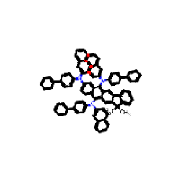 CC1(C)c2ccccc2-c2cc3c(N(c4ccc(-c5ccccc5)cc4)c4ccc5ccccc5c4)c4cc(N(c5ccc(-c6ccccc6)cc5)c5ccc6ccccc6c5)ccc4c(N(c4ccc(-c5ccccc5)cc4)c4ccc5ccccc5c4)c3cc21